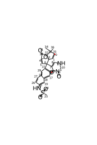 C=CC12OC(=CC1(C1=CNC[N+](=O)C1=O)c1ccc3cc(NS(C)(=O)=O)ccc3c1)C(=O)C2C(C)(C)C